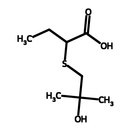 CCC(SCC(C)(C)O)C(=O)O